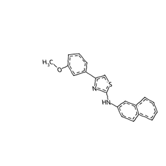 COc1cccc(-c2csc(Nc3ccc4ccccc4c3)n2)c1